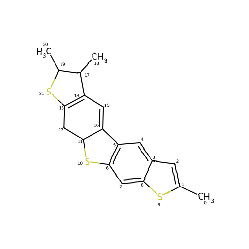 Cc1cc2cc3c(cc2s1)SC1CC2=C(C=C31)C(C)C(C)S2